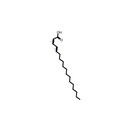 CCCCCCCCCCCCC/C=C/C=C\C(=O)O